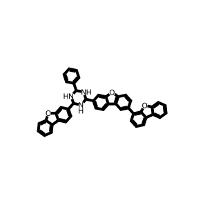 c1ccc(C2NC(c3ccc4c(c3)oc3ccccc34)NC(c3ccc4c(c3)oc3ccc(-c5cccc6c5oc5ccccc56)cc34)N2)cc1